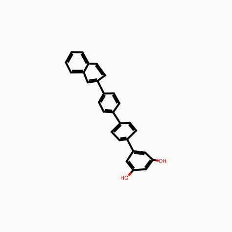 Oc1cc(O)cc(-c2ccc(-c3ccc(-c4ccc5ccccc5c4)cc3)cc2)c1